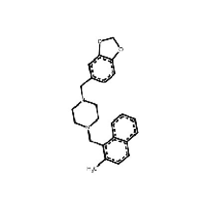 Cc1ccc2ccccc2c1CN1CCN(Cc2ccc3c(c2)OCO3)CC1